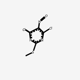 CSc1nc(Cl)c(N=O)c(Cl)n1